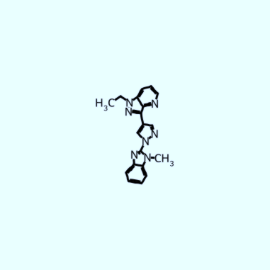 CCn1nc(-c2cnn(-c3nc4ccccc4n3C)c2)c2ncccc21